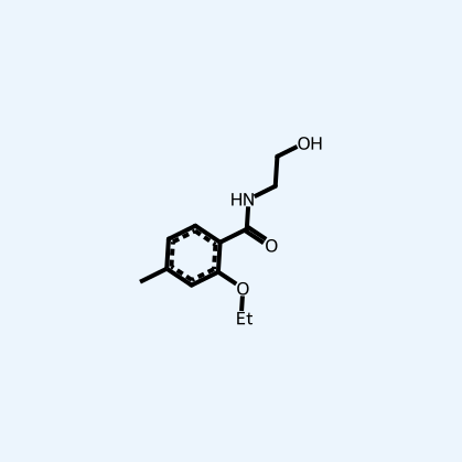 CCOc1cc(C)ccc1C(=O)NCCO